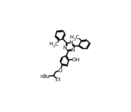 CCCCC(CC)COc1ccc(-c2nc(-c3ccccc3C)nc(-c3ccccc3C)n2)c(O)c1